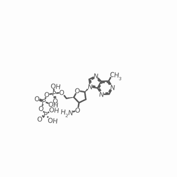 Cc1ncnc2c1ncn2[C@H]1CC(ON)[C@@H](COP(=O)(O)OP(=O)(O)OP(=O)(O)O)O1